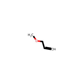 [CH]=CCOC